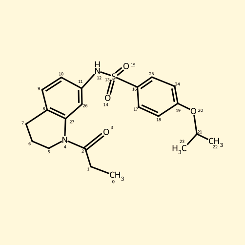 CCC(=O)N1CCCc2ccc(NS(=O)(=O)c3ccc(OC(C)C)cc3)cc21